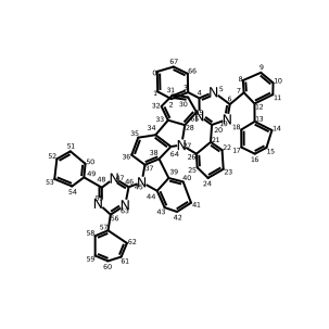 c1ccc(-c2nc(-c3ccccc3-c3ccccc3)nc(-c3ccccc3-n3c4ccccc4c4ccc5c(c6ccccc6n5-c5nc(-c6ccccc6)nc(-c6ccccc6)n5)c43)n2)cc1